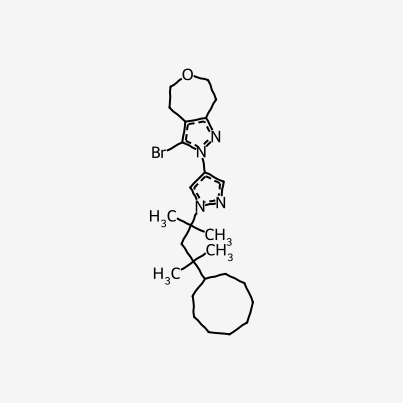 CC(C)(CC(C)(C)n1cc(-n2nc3c(c2Br)CCOCC3)cn1)C1CCCCCCCC1